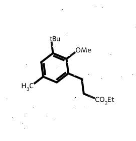 CCOC(=O)CCc1cc(C)cc(C(C)(C)C)c1OC